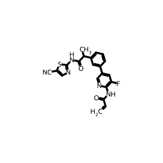 C=CC(=O)Nc1ncc(-c2cccc(C(C)C(=O)Nc3ncc(C#N)s3)c2)cc1F